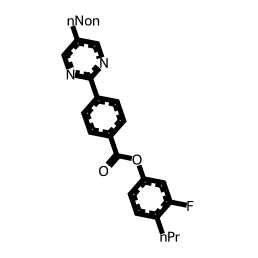 CCCCCCCCCc1cnc(-c2ccc(C(=O)Oc3ccc(CCC)c(F)c3)cc2)nc1